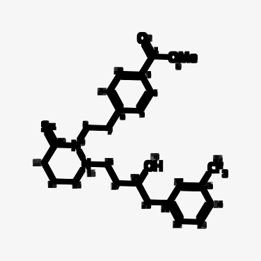 COC(=O)c1ccc(CCN2C(=S)CCCN2CCC(O)Cc2cccc(C(F)(F)F)c2)cc1